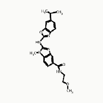 COCCNC(=O)c1ccc2c(c1)nc(Nc1nc3ccc(C(C)C)cc3o1)n2C